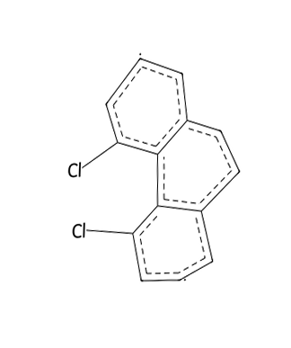 Clc1c[c]cc2ccc3c[c]cc(Cl)c3c12